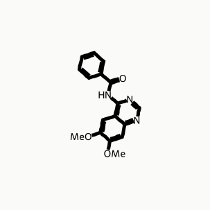 COc1cc2ncnc(NC(=O)c3ccccc3)c2cc1OC